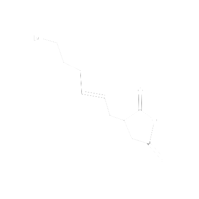 CCC(C)CCCC=CCC1CC(=O)OC1=O